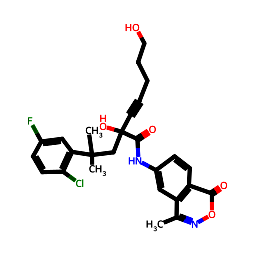 Cc1noc(=O)c2ccc(NC(=O)C(O)(C#CCCCO)CC(C)(C)c3cc(F)ccc3Cl)cc12